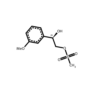 COc1cccc([C@@H](O)COS(C)(=O)=O)c1